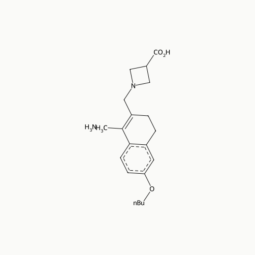 CCCCOc1ccc2c(c1)CCC(CN1CC(C(=O)O)C1)=C2C.N